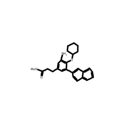 COC(=O)CCc1cc(N)c(OC2CCCCC2)c(-c2ccc3ccccc3c2)c1